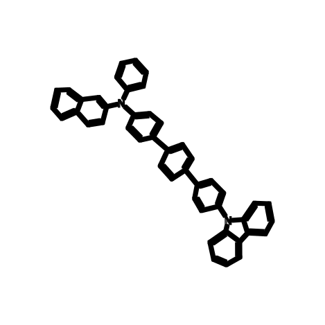 c1ccc(N(c2ccc(-c3ccc(-c4ccc(-n5c6ccccc6c6ccccc65)cc4)cc3)cc2)c2ccc3ccccc3c2)cc1